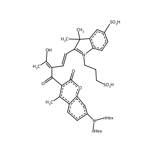 CCCCCCN(CCCCCC)c1ccc2c(C)c(C(=O)C(/C=C/C3=[N+](CCCS(=O)(=O)O)c4ccc(S(=O)(=O)O)cc4C3(C)C)=C(\C)O)c(=O)oc2c1